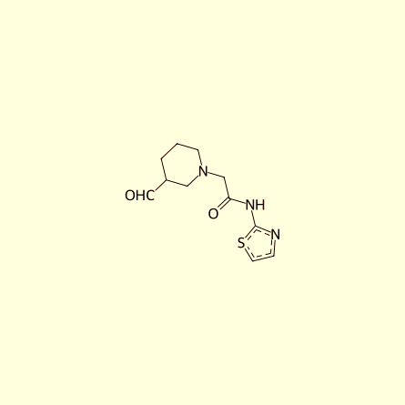 O=CC1CCCN(CC(=O)Nc2nccs2)C1